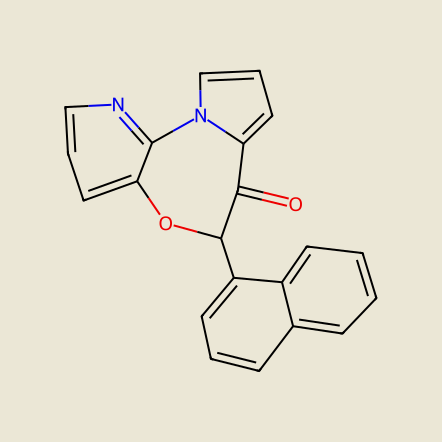 O=C1c2cccn2-c2ncccc2OC1c1cccc2ccccc12